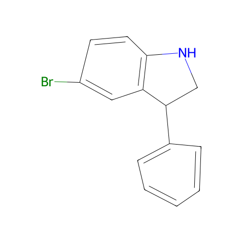 Brc1ccc2c(c1)C(c1ccccc1)CN2